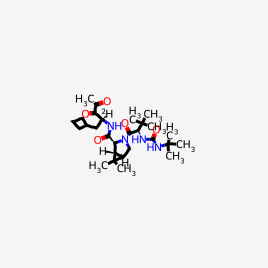 [2H][C@@](CC1CCC1)(NC(=O)[C@@H]1[C@@H]2[C@H](CN1C(=O)[C@@H](NC(=O)NC(C)(C)C)C(C)(C)C)C2(C)C)C(=O)C(C)=O